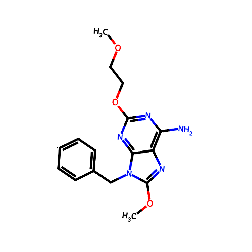 COCCOc1nc(N)c2nc(OC)n(Cc3cc[c]cc3)c2n1